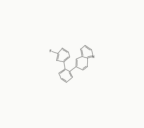 Fc1cccc(-c2ccccc2-c2ccc3ncccc3c2)c1